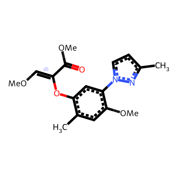 CO/C=C(\Oc1cc(-n2ccc(C)n2)c(OC)cc1C)C(=O)OC